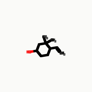 C=CC1CCC(O)CC1(C)C